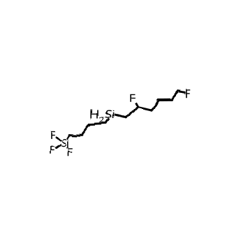 FCCCCC(F)C[SiH2]CCCC[Si](F)(F)F